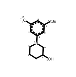 CC(C)(C)c1cc(N2CCCC(O)C2)cc(C(F)(F)F)c1